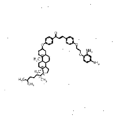 CC(C)CCC[C@@H](C)[C@H]1CCC2C3CCC4CC(Oc5ccc(C(=O)C=Cc6ccc(OCCOc7ccc(N)cc7N)cc6)cc5)CC[C@]4(C)C3CC[C@@]21C